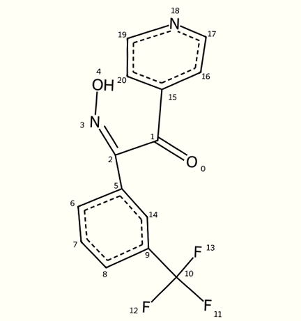 O=C(/C(=N\O)c1cccc(C(F)(F)F)c1)c1ccncc1